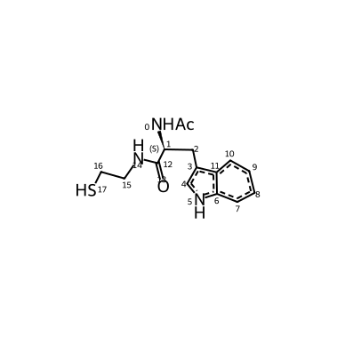 CC(=O)N[C@@H](Cc1c[nH]c2ccccc12)C(=O)NCCS